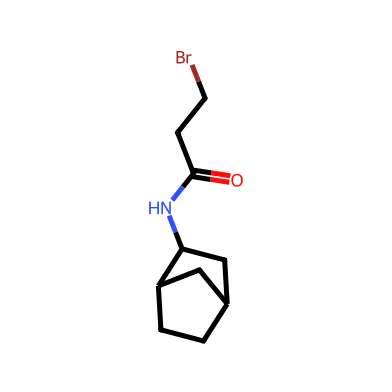 O=C(CCBr)NC1CC2CCC1C2